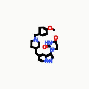 COc1ccc(CN2CCC(Cc3ccn4ncc(N5CCC(=O)NC5=O)c4c3)CC2)cc1